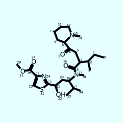 CCC(C)C(CC(=O)C1CCCCN1C)C(=O)N(C)C(CC(O)c1nc(C(=O)OC)cs1)C(C)C